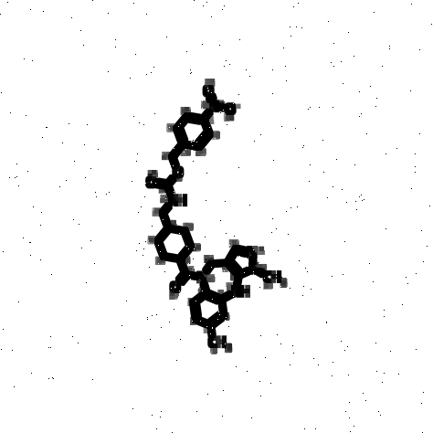 Cc1ccc2c(c1)Nc1c(cnn1C)CN2C(=O)C1CCC(CNC(=O)OCc2ccc([N+](=O)[O-])cc2)CC1